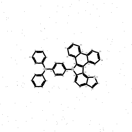 c1ccc(N(c2ccccc2)c2ccc(-n3c4ccc5ccsc5c4c4c5ccccc5c5ccccc5c43)cc2)cc1